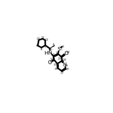 CSC1=C(N[C@H](C)C2CCCCC2)C(=O)c2cccnc2C1=O